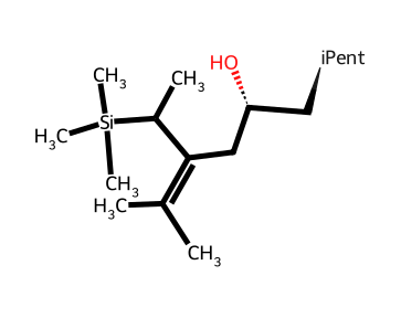 CCC[C@H](C)C[C@@H](O)CC(=C(C)C)C(C)[Si](C)(C)C